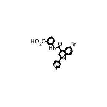 O=C(O)c1cccc(NC(=O)c2cc(-c3ccncc3)nc3ccc(Br)cc23)c1